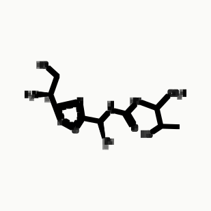 CC[C@H](C)C(NC(=O)NC(C(=O)O)C(C)O)c1nc([C@@H](N)CO)no1